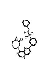 CN1CCCN(c2ncnc3ccc(-c4cccc(S(=O)(=O)NCc5ccccc5)c4)nc23)CC1=O